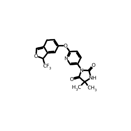 CC1(C)NC(=O)N(c2ccc(OC3=CCC4=COC(C(F)(F)F)C4=C3)nc2)C1=O